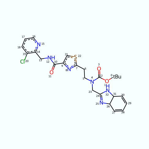 CC(C)(C)OC(=O)N(CCc1nc(C(=O)NCc2ncccc2Cl)cs1)CC1=NC2C=CC=CC2N1